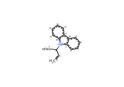 C=CC(CCCCCC)n1c2ccccc2c2ccccc21